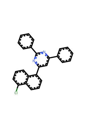 Clc1cccc2c(-c3cc(-c4ccccc4)nc(-c4ccccc4)n3)cccc12